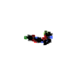 CC(C)[C@H](NC(=O)c1ccc(C(=O)NS(=O)(=O)c2ccc(Cl)cc2)cc1)C(=O)N1CCC[C@H]1C(=O)N[C@@H](C(=O)C(F)(F)F)C(C)C